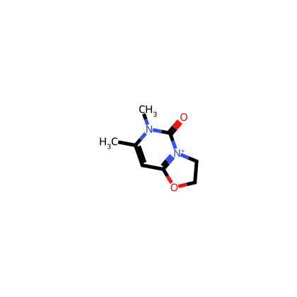 Cc1cc2[n+](c(=O)n1C)CCO2